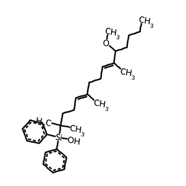 CCCCC(OC)/C(C)=C/CC/C(C)=C/CCC(C)(C)[Si](O)(c1ccccc1)c1ccccc1